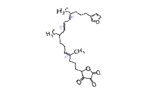 C/C(=C\C=C\C(C)CC/C=C(\C)CCCC1OC(=O)C(=O)C1=O)CCCc1ccoc1